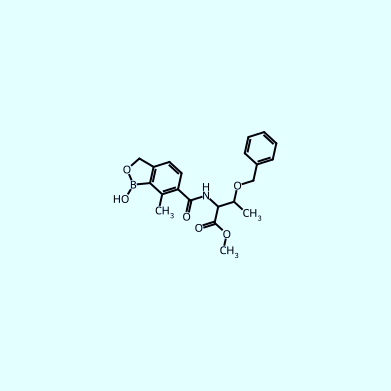 COC(=O)C(NC(=O)c1ccc2c(c1C)B(O)OC2)C(C)OCc1ccccc1